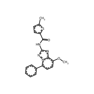 COc1ccc(-c2ccccc2)n2nc(NC(=O)c3ccc(C)s3)nc12